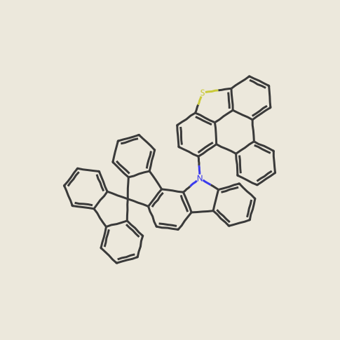 c1ccc2c(c1)-c1ccccc1C21c2ccccc2-c2c1ccc1c3ccccc3n(-c3ccc4sc5cccc6c7ccccc7c3c4c56)c21